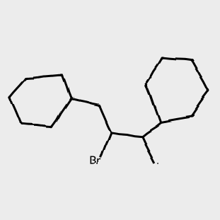 [CH2]C(C(Br)CC1CCCCC1)C1CCCCC1